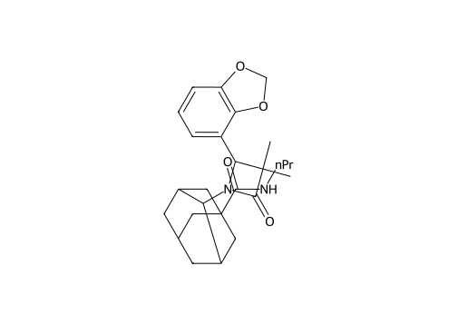 CCCNC(=O)C12CC3CC(C1)C(N1C(=O)C(C)(C)C1c1cccc4c1OCO4)C(C3)C2